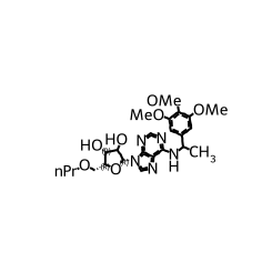 CCCOC[C@H]1O[C@@H](n2cnc3c(NC(C)c4cc(OC)c(OC)c(OC)c4)ncnc32)C(O)[C@H]1O